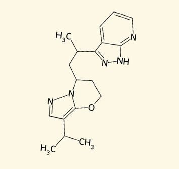 CC(C)c1cnn2c1OCCC2CC(C)c1n[nH]c2ncccc12